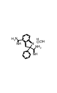 Cl.Cl.N=C(N)c1cccc2c1=CC(C(=N)N)(c1ccccc1)N=2